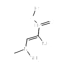 CCO[PH](=O)/C(N)=C/N(C)N